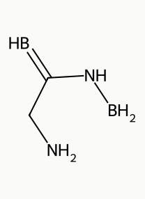 B=C(CN)NB